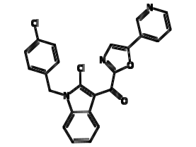 O=C(c1ncc(-c2cccnc2)o1)c1c(Cl)n(Cc2ccc(Cl)cc2)c2ccccc12